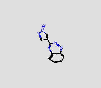 c1ccc2nc(-c3cn[nH]c3)nnc2c1